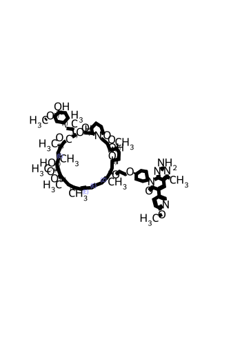 COc1ccc(-c2cc3c(C)nc(N)nc3n([C@H]3CC[C@H](OCCO[C@@H]4C[C@@H]5CC[C@@H](C)[C@@](O)(O5)C(=O)C(=O)N5CCCC[C@H]5C(=O)O[C@H](C(C)C[C@H]5CC[C@@H](O)[C@H](OC)C5)CC(=O)[C@H](C)/C=C(\C)[C@@H](O)[C@@H](OC)C(=O)[C@H](C)C[C@H](C)/C=C/C=C/C=C\4C)CC3)c2=O)cn1